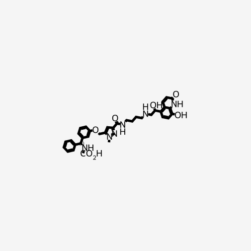 Cn1nc(C(=O)NCCCCNCC(O)c2ccc(O)c3[nH]c(=O)ccc23)cc1COc1cccc([C@@H](NC(=O)O)c2ccccc2)c1